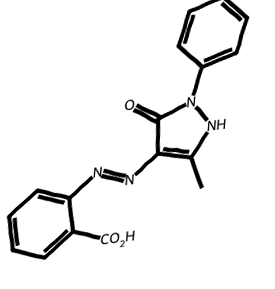 Cc1[nH]n(-c2ccccc2)c(=O)c1N=Nc1ccccc1C(=O)O